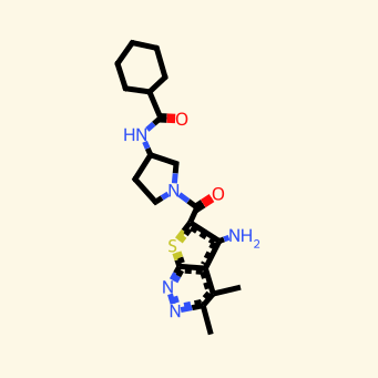 Cc1nnc2sc(C(=O)N3CCC(NC(=O)C4CCCCC4)C3)c(N)c2c1C